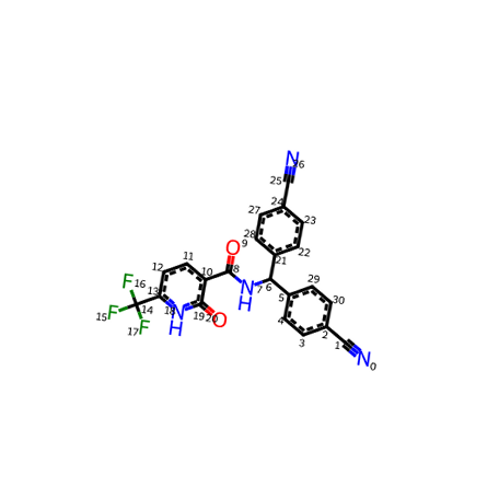 N#Cc1ccc(C(NC(=O)c2ccc(C(F)(F)F)[nH]c2=O)c2ccc(C#N)cc2)cc1